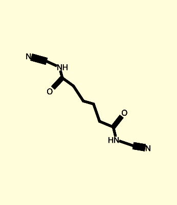 N#CNC(=O)CCCCC(=O)NC#N